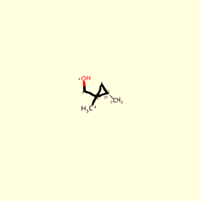 C[C@H]1CC1(C)CO